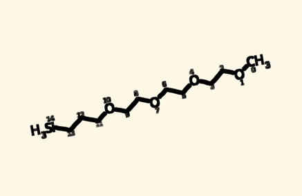 COCCOCCOCCOCCC[SiH3]